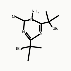 CC(C)(C)C(C)(C)C1=NC(Cl)N(N)C(C(C)(C)C(C)(C)C)=N1